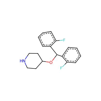 Fc1ccccc1C(OC1CCNCC1)c1ccccc1F